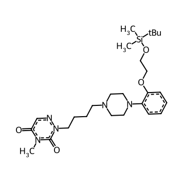 Cn1c(=O)cnn(CCCCN2CCN(c3ccccc3OCCO[Si](C)(C)C(C)(C)C)CC2)c1=O